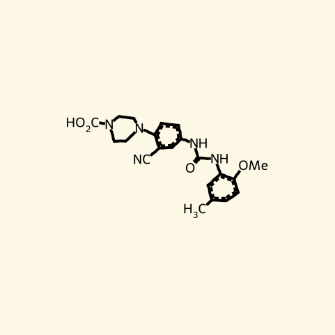 COc1ccc(C)cc1NC(=O)Nc1ccc(N2CCN(C(=O)O)CC2)c(C#N)c1